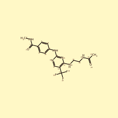 CNC(=O)c1ccc(Nc2ncc(C(F)(F)F)c(NCCNC(C)=O)n2)cc1